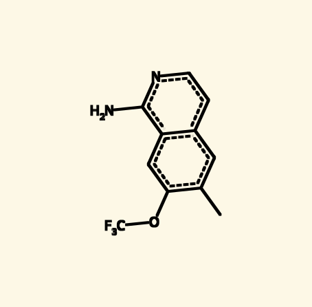 Cc1cc2ccnc(N)c2cc1OC(F)(F)F